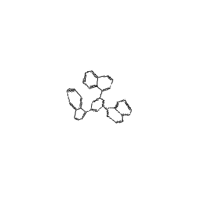 c1ccc2c(-c3cc(-c4cccc5ccccc45)cc(-c4cccc5ccccc45)c3)cccc2c1